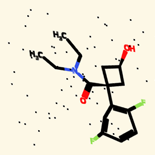 CCN(CC)C(=O)[C@]1(c2cc(F)ccc2F)C[C@H](O)C1